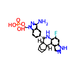 Nc1nn(COP(=O)(O)O)c2ccc([C@@H]3Nc4c(F)cc5[nH]ncc5c4[C@H]4C5CCC(C5)[C@@H]34)cc12